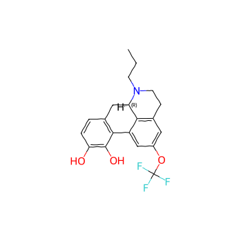 CCCN1CCc2cc(OC(F)(F)F)cc3c2[C@H]1Cc1ccc(O)c(O)c1-3